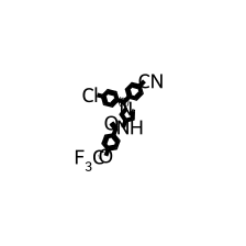 N#Cc1ccc([C@H](c2ccc(Cl)cc2)N2CCC(NC(=O)c3ccc(OC(F)(F)F)cc3)C2)cc1